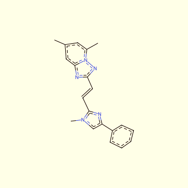 Cc1cc(C)n2nc(C=Cc3nc(-c4ccccc4)cn3C)nc2c1